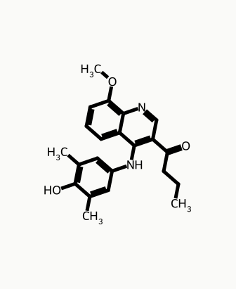 CCCC(=O)c1cnc2c(OC)cccc2c1Nc1cc(C)c(O)c(C)c1